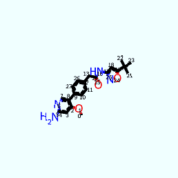 COc1cc(N)ncc1-c1ccc(CC(=O)Nc2cc(C(C)(C)C)on2)cc1